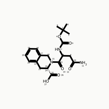 CC(C)(C)OC(=O)NC(CC(N)=O)C(=O)N1Cc2ccccc2C[C@H]1C(=O)O